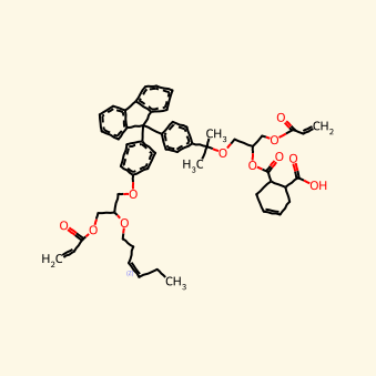 C=CC(=O)OCC(COc1ccc(C2(c3ccc(C(C)(C)OCC(COC(=O)C=C)OC(=O)C4CC=CCC4C(=O)O)cc3)c3ccccc3-c3ccccc32)cc1)OCC/C=C\CC